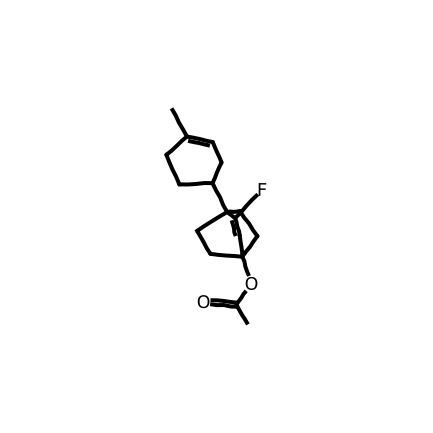 CC(=O)OC12C=C(F)C(C3CC=C(C)CC3)(CC1)CC2